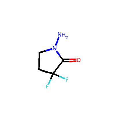 NN1CCC(F)(F)C1=O